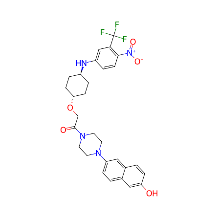 O=C(CO[C@H]1CC[C@H](Nc2ccc([N+](=O)[O-])c(C(F)(F)F)c2)CC1)N1CCN(c2ccc3cc(O)ccc3c2)CC1